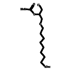 CCCCCCCCCCCCCCCCCCOCC(CCl)OC(=O)NC